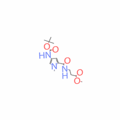 COC(=O)CCNC(=O)c1cc(NC(=O)OC(C)(C)C)cn1C